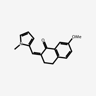 COc1ccc2c(c1)C(=O)/C(=C\c1cccn1C)CC2